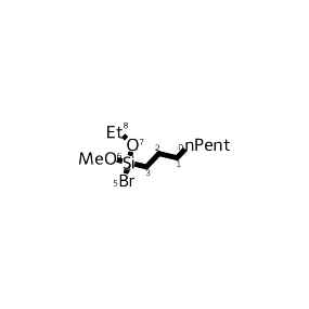 CCCCCCCC[Si](Br)(OC)OCC